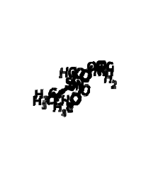 C=C1C=CC(O[C@H]2CC[C@H](N(C(=O)C3CCC(C)CC3)c3cc(C#CC(C)(C)C)sc3C(=O)O)CC2)=NN1